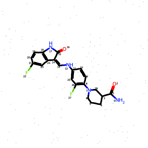 NC(=O)C1CCCN(c2ccc(N/C=C3\C(=O)Nc4ccc(F)cc43)cc2F)C1